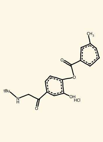 Cc1cccc(C(=O)Oc2ccc(C(=O)CNC(C)(C)C)cc2O)c1.Cl